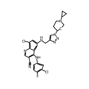 N#Cc1cnc2c(Cl)cc(NCc3cn(C4CCN(C5CC5)CC4)nn3)cc2c1Nc1ccc(F)c(Cl)c1